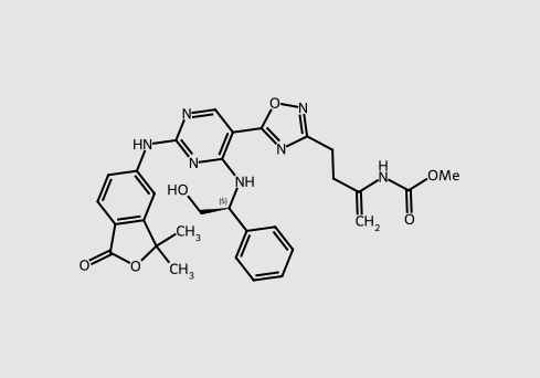 C=C(CCc1noc(-c2cnc(Nc3ccc4c(c3)C(C)(C)OC4=O)nc2N[C@H](CO)c2ccccc2)n1)NC(=O)OC